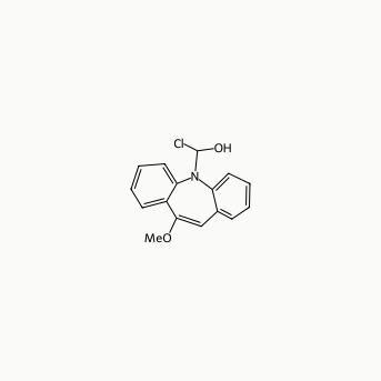 COC1=Cc2ccccc2N(C(O)Cl)c2ccccc21